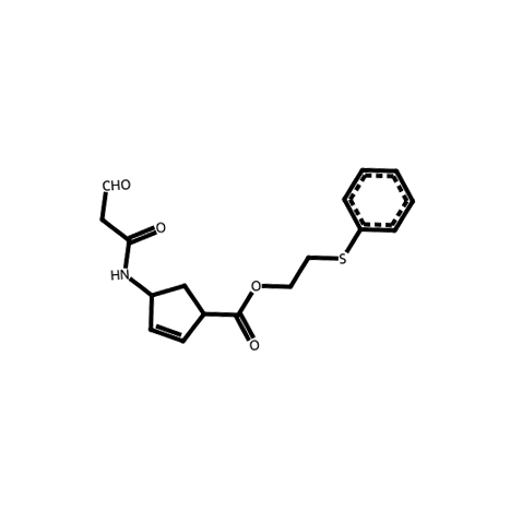 O=CCC(=O)NC1C=CC(C(=O)OCCSc2ccccc2)C1